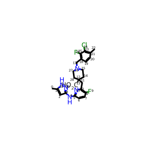 Cc1cc(Nc2ccc(F)c(CC3(C(=O)O)CCN(Cc4ccc(C)c(Cl)c4F)CC3)n2)n[nH]1